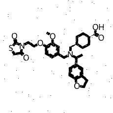 COc1cc(CN(C[C@H]2CC[C@H](C(=O)O)CC2)C(C)c2ccc3c(c2)CCO3)ccc1OCCN1C(=O)CSC1=O